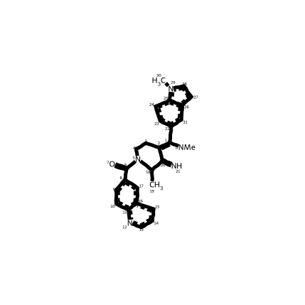 CN/C(=C1/CCN(C(=O)c2ccc3ncccc3c2)C(C)C1=N)c1ccc2c(ccn2C)c1